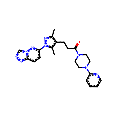 Cc1nn(-c2ccc3nncn3n2)c(C)c1CCC(=O)N1CCN(c2ccccn2)CC1